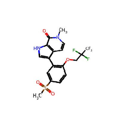 Cn1ccc2c(-c3cc(S(C)(=O)=O)ccc3OCC(F)(F)C(F)(F)F)c[nH]c2c1=O